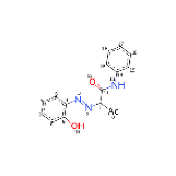 CC(=O)C(N=Nc1ccccc1O)C(=O)Nc1ccccc1